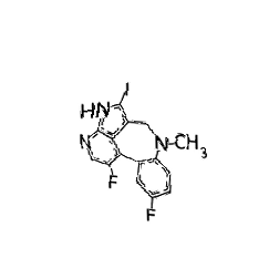 CN1Cc2c(I)[nH]c3ncc(F)c(c23)-c2cc(F)ccc21